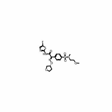 COCCN(C)S(=O)(=O)c1ccc(/C(=N\O[C@@H]2CCOC2)C(=O)Nc2ncc(F)s2)cc1